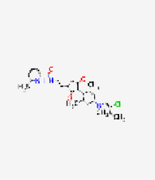 Bc1cccc(C(=O)NCCC2CC(=O)C(c3c(C)cc(N(C)/C=C(/Cl)C=C)cc3C)C2=O)n1